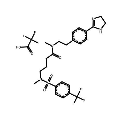 CN(CCc1ccc(C2=NCCN2)cc1)C(=O)CCCN(C)S(=O)(=O)c1ccc(C(F)(F)F)cc1.O=C(O)C(F)(F)F